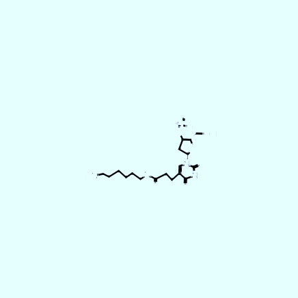 NCCCCCCNC(=O)CCc1cn([C@H]2CC(OP(=O)(O)O)[C@@H](CO)O2)c(=O)[nH]c1=O